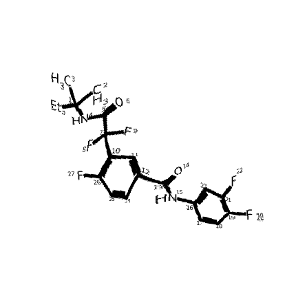 CCC(C)(C)NC(=O)C(F)(F)c1cc(C(=O)Nc2ccc(F)c(F)c2)ccc1F